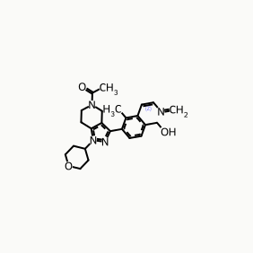 C=N/C=C\c1c(CO)ccc(-c2nn(C3CCOCC3)c3c2CN(C(C)=O)CC3)c1C